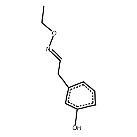 CCON=CCc1cccc(O)c1